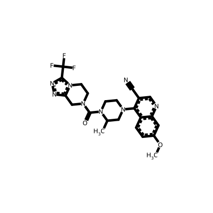 COc1ccc2c(N3CCN(C(=O)N4CCn5c(nnc5C(F)(F)F)C4)C(C)C3)c(C#N)cnc2c1